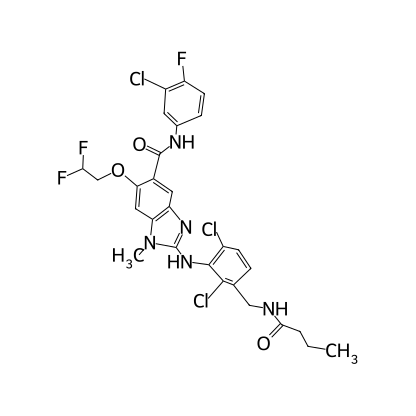 CCCC(=O)NCc1ccc(Cl)c(Nc2nc3cc(C(=O)Nc4ccc(F)c(Cl)c4)c(OCC(F)F)cc3n2C)c1Cl